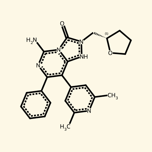 Cc1cc(-c2c(-c3ccccc3)nc(N)[n+]3c(=O)n(C[C@@H]4CCCO4)[nH]c23)cc(C)n1